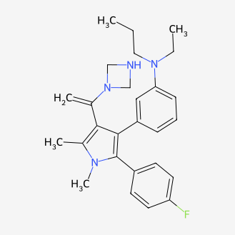 C=C(c1c(-c2cccc(N(CC)CCC)c2)c(-c2ccc(F)cc2)n(C)c1C)N1CNC1